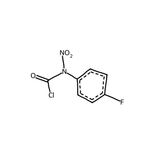 O=C(Cl)N(c1ccc(F)cc1)[N+](=O)[O-]